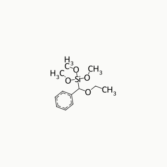 CCOC(c1ccccc1)[Si](OC)(OC)OC